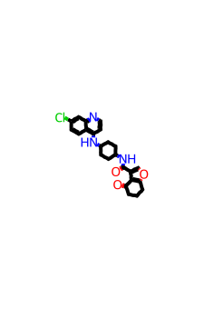 O=C(NC1CCC(Nc2ccnc3cc(Cl)ccc23)CC1)c1coc2c1C(=O)CCC2